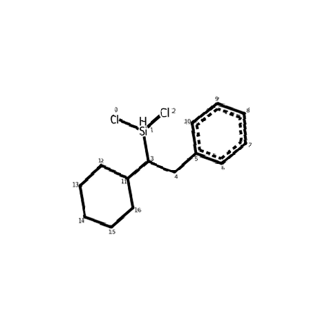 Cl[SiH](Cl)C(Cc1ccccc1)C1CCCCC1